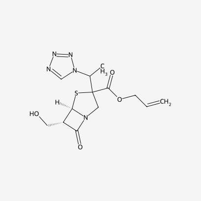 C=CCOC(=O)C1(C(C)n2cnnn2)CN2C(=O)[C@H](CO)[C@H]2S1